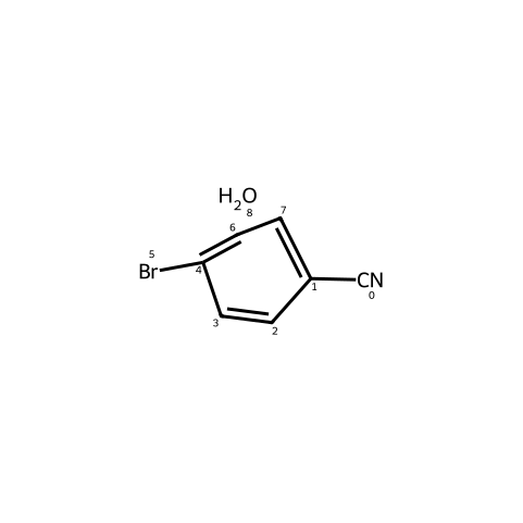 N#Cc1ccc(Br)cc1.O